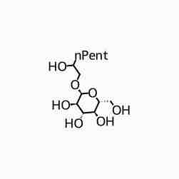 CCCCCC(O)CO[C@H]1O[C@H](CO)[C@@H](O)[C@H](O)[C@H]1O